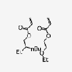 C=CC(=O)OCC(CC)CCCC.C=CC(=O)OCCOCC